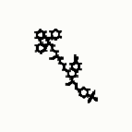 CCS(=O)(=O)N1CCN(CCC(=O)N(CCCCCNC(=O)CCOC(=O)N(c2ccccc2-c2ccccc2)N2CC[CH]CC2)Cc2ccc(O)cc2)CC1